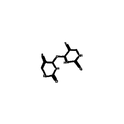 O=C1NCC(=S)C(OC2NC(=O)NCC2=S)N1